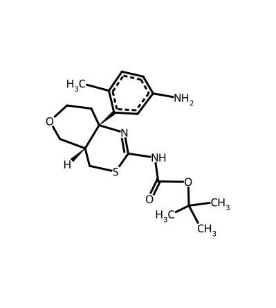 Cc1ccc(N)cc1[C@]12CCOC[C@H]1CSC(NC(=O)OC(C)(C)C)=N2